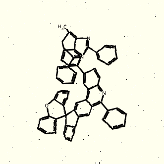 C\C1=C(c2cccc(-c3ccc4nc(-c5ccccc5)c5cc6c(cc5c4c3)C3(c4ccccc4Oc4ccccc43)c3ccccc3-6)c2)/N=C(c2ccccc2)\N=C(\c2ccccc2)CC1